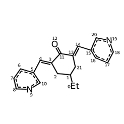 CCC1C/C(=C\c2cccnc2)C(=O)/C(=C/c2cccnc2)C1